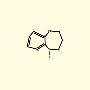 IN1CCCNc2ccccc21